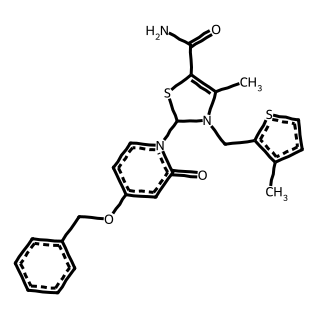 CC1=C(C(N)=O)SC(n2ccc(OCc3ccccc3)cc2=O)N1Cc1sccc1C